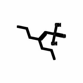 CCCC(=CP(=O)(O)O)CCC